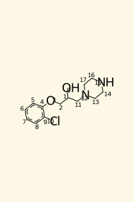 OC(COc1ccccc1Cl)CN1CCNCC1